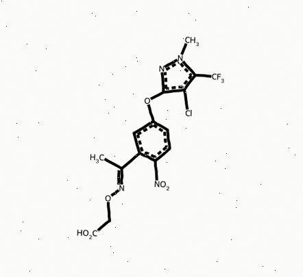 CC(=NOCC(=O)O)c1cc(Oc2nn(C)c(C(F)(F)F)c2Cl)ccc1[N+](=O)[O-]